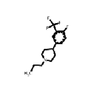 CCCN1CCC(c2ccc(F)c(C(F)(F)F)c2)CC1